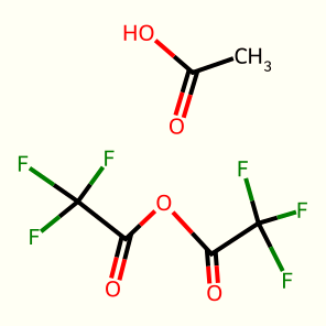 CC(=O)O.O=C(OC(=O)C(F)(F)F)C(F)(F)F